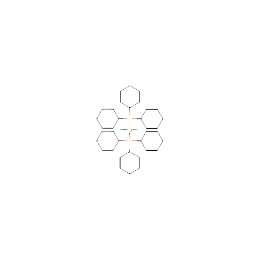 [Cl][Ni]([Cl])([PH](C1CCCCC1)(C1CCCCC1)C1CCCCC1)[PH](C1CCCCC1)(C1CCCCC1)C1CCCCC1